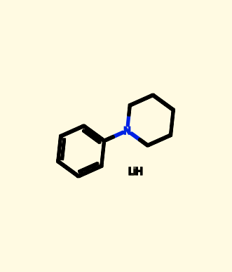 [LiH].c1ccc(N2CCCCC2)cc1